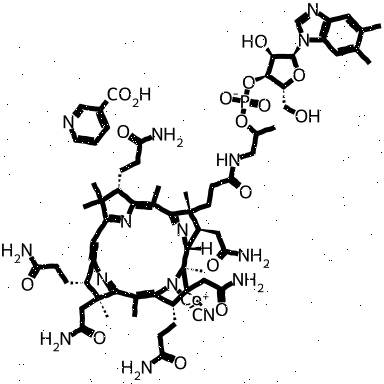 C/C1=C2N=C(/C=C3N=C(/C(C)=C4/[C@@H](CCC(N)=O)[C@](C)(CC(N)=O)[C@](C)([C@@H]5N=C1[C@](C)(CCC(=O)NCC(C)OP(=O)([O-])O[C@H]1[C@@H](O)[C@@H](n6cnc7cc(C)c(C)cc76)O[C@@H]1CO)[C@H]5CC(N)=O)[N]4[Co+][C]#N)[C@@](C)(CC(N)=O)[C@@H]\3CCC(N)=O)C(C)(C)[C@@H]/2CCC(N)=O.O=C(O)c1cccnc1